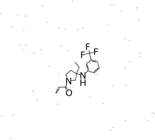 C=CC(=O)N1CCC(CC)(Nc2cccc(C(F)(F)F)c2)C1